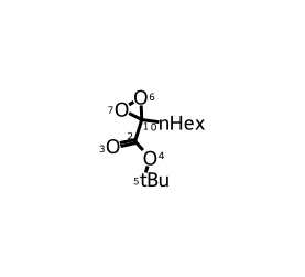 CCCCCCC1(C(=O)OC(C)(C)C)OO1